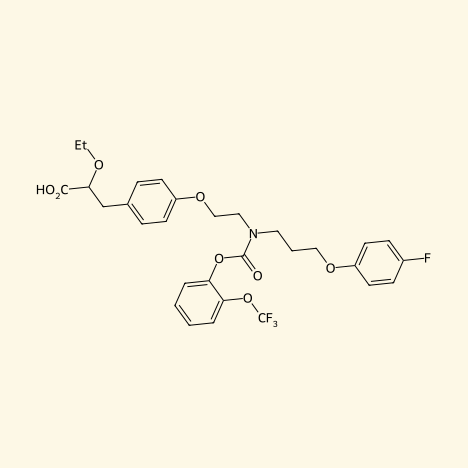 CCOC(Cc1ccc(OCCN(CCCOc2ccc(F)cc2)C(=O)Oc2ccccc2OC(F)(F)F)cc1)C(=O)O